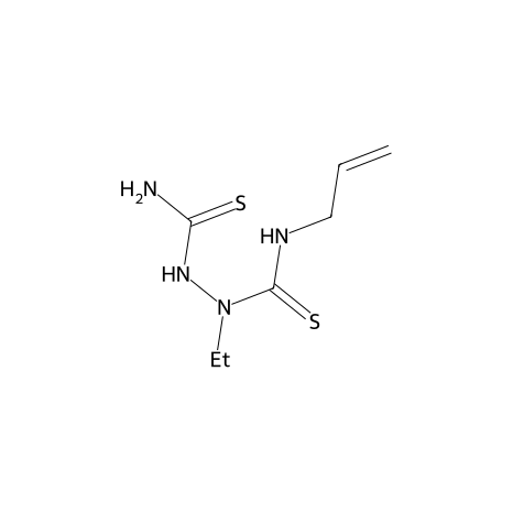 C=CCNC(=S)N(CC)NC(N)=S